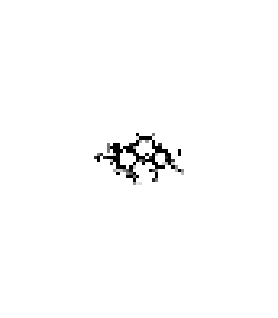 Cc1[nH]c2ccc3[nH]c(=O)cc(Cl)c3c2c1C